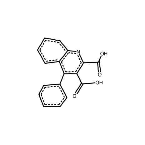 O=C(O)c1nc2ccccc2c(-c2ccccc2)c1C(=O)O